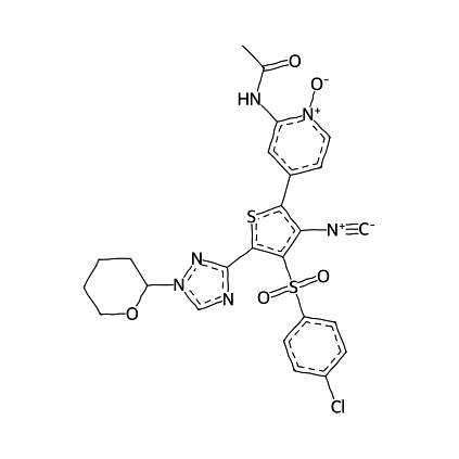 [C-]#[N+]c1c(-c2cc[n+]([O-])c(NC(C)=O)c2)sc(-c2ncn(C3CCCCO3)n2)c1S(=O)(=O)c1ccc(Cl)cc1